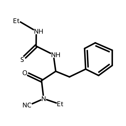 CCNC(=S)NC(Cc1ccccc1)C(=O)N(C#N)CC